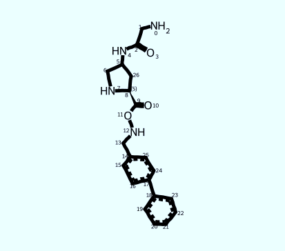 NCC(=O)NC1CN[C@H](C(=O)ONCc2ccc(-c3ccccc3)cc2)C1